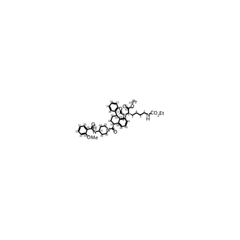 CCOC(=O)NCCCC[C@@H](NC(=O)[C@@]1(c2ccccc2)CC[C@H](C(=O)N2CCC(NC(=O)c3ccccc3OC)CC2)c2ccccc21)C(=O)OC(C)C